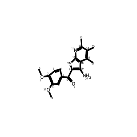 COc1ccc(C(=O)c2sc3nc(C)c(C)c(C)c3c2N)cc1OC